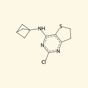 Clc1nc2c(c(NC34CC(C3)C4)n1)SCC2